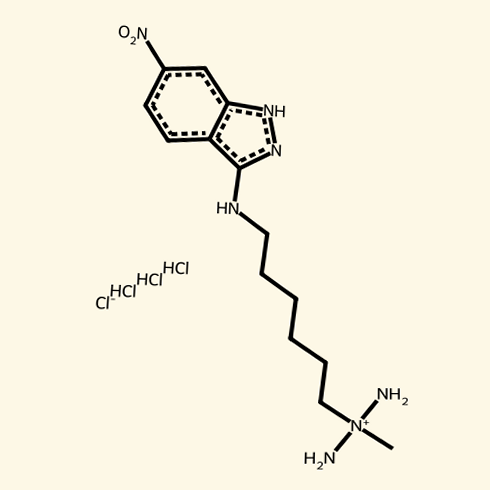 C[N+](N)(N)CCCCCCNc1n[nH]c2cc([N+](=O)[O-])ccc12.Cl.Cl.Cl.[Cl-]